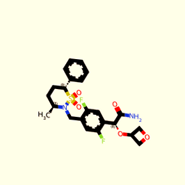 C[C@H]1CC[C@H](c2ccccc2)S(=O)(=O)N1Cc1cc(F)c([C@@H](OC2COC2)C(N)=O)cc1F